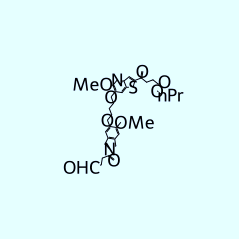 CCCOC(=O)CCC(=O)c1cc2nc(OC)c(OCCCOc3cc4c(cc3OC)CN(C(=O)CCC=O)C4)cc2s1